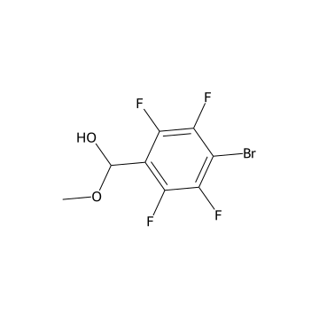 COC(O)c1c(F)c(F)c(Br)c(F)c1F